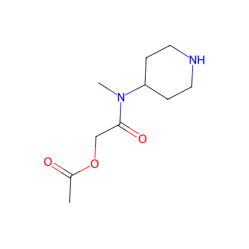 CC(=O)OCC(=O)N(C)C1CCNCC1